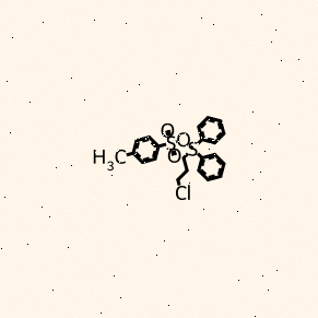 Cc1ccc(S(=O)(=O)OS(CCCCl)(c2ccccc2)c2ccccc2)cc1